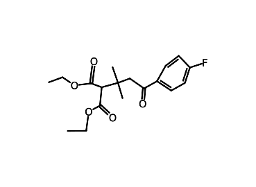 CCOC(=O)C(C(=O)OCC)C(C)(C)CC(=O)c1ccc(F)cc1